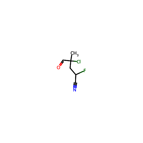 CC(Cl)(C=O)CC(F)C#N